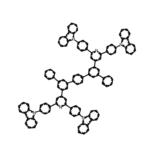 c1ccc(-c2cc(-c3ccc(-c4cc(-c5ccccc5)cc(-c5cc(-c6ccc(-n7c8ccccc8c8ccccc87)cc6)nc(-c6ccc(-n7c8ccccc8c8ccccc87)cc6)c5)c4)cc3)cc(-c3cc(-c4ccc(-n5c6ccccc6c6ccccc65)cc4)nc(-c4ccc(-n5c6ccccc6c6ccccc65)cc4)c3)c2)cc1